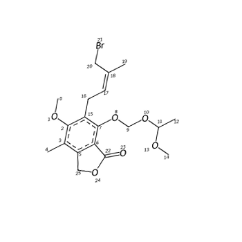 COc1c(C)c2c(c(OCOC(C)OC)c1CC=C(C)CBr)C(=O)OC2